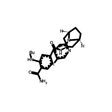 CCC(C)Nc1cc(C(=O)N[C@H]2C[C@H]3CC[C@@H](C2)N3c2ccc(C(C)=O)cn2)ccc1C(N)=O